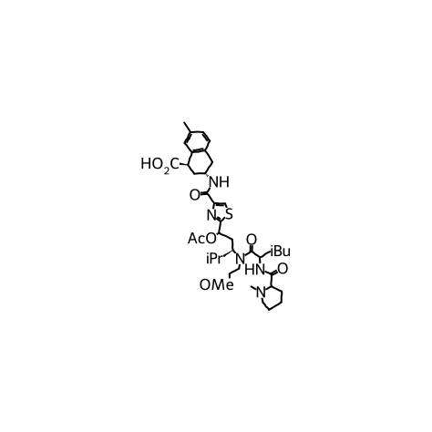 CCC(C)C(NC(=O)C1CCCCN1C)C(=O)N(CCOC)[C@H](C[C@@H](OC(C)=O)c1nc(C(=O)N[C@H]2Cc3ccc(C)cc3[C@H](C(=O)O)C2)cs1)C(C)C